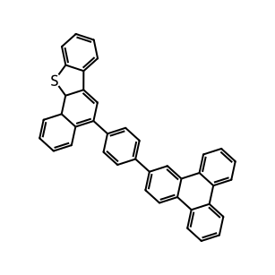 C1=CC2=C(c3ccc(-c4ccc5c6ccccc6c6ccccc6c5c4)cc3)C=C3c4ccccc4SC3C2C=C1